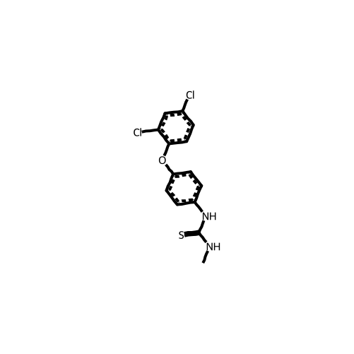 CNC(=S)Nc1ccc(Oc2ccc(Cl)cc2Cl)cc1